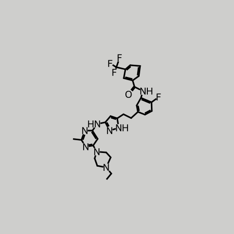 CCN1CCN(c2cc(Nc3cc(CCc4ccc(F)c(NC(=O)c5cccc(C(F)(F)F)c5)c4)[nH]n3)nc(C)n2)CC1